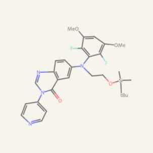 COc1cc(OC)c(F)c(N(CCO[Si](C)(C)C(C)(C)C)c2ccc3ncn(-c4ccncc4)c(=O)c3c2)c1F